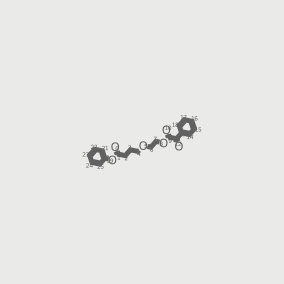 O=C(CCCOCCOC(=O)C(=O)c1ccccc1)Oc1ccccc1